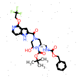 CC(C)(C)OC(=O)N[C@@H](CNC(=O)OCc1ccccc1)CN(CCO)C(=O)c1cc2c(OCC(F)(F)F)nccc2[nH]1